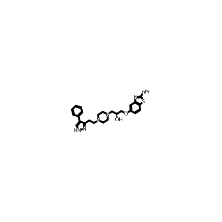 CCCc1nc2cc(OC[C@@H](O)CN3CCN(CCc4n[nH]cc4-c4ccccc4)CC3)ccc2s1